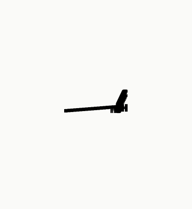 C#CC#CC#CC#CC#CC#CC#CC#CC#CC#CC#CC#CC#CC#CC#CC#CC#CC#CC(=C=C=C=C=C=C=C=C=C=C=C)NS